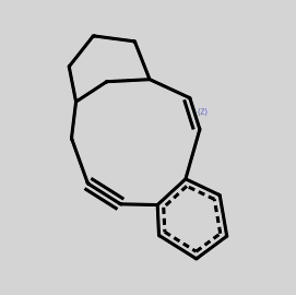 C1#Cc2ccccc2/C=C\C2CCCC(C1)C2